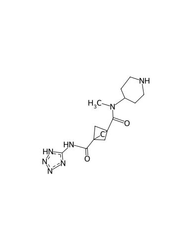 CN(C(=O)C12CC(C(=O)Nc3nnn[nH]3)(C1)C2)C1CCNCC1